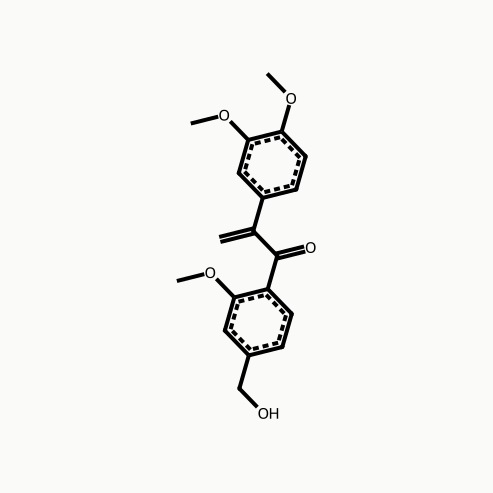 C=C(C(=O)c1ccc(CO)cc1OC)c1ccc(OC)c(OC)c1